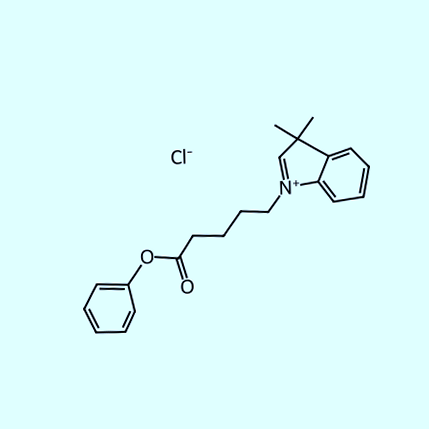 CC1(C)C=[N+](CCCCC(=O)Oc2ccccc2)c2ccccc21.[Cl-]